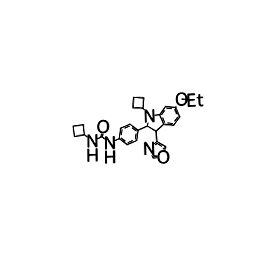 CCOc1ccc2c(c1)N(C1CCC1)C(c1ccc(NC(=O)NC3CCC3)cc1)C2c1cocn1